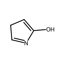 OC1=CCC=N1